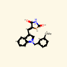 COc1cccc(Cn2cc(/C=C3\SC(=O)NC3=O)c3ccccc32)c1